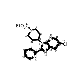 CCOC(=O)N1CCC(n2c(-c3ccccn3)nc3cc(Cl)cnc32)CC1